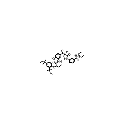 CCC(Oc1ccc(C(C)(C)CC)cc1C(C)(C)CC)C(=O)Nc1cc(C(=O)C(F)(OC)C(=O)Nc2cccc(S(=O)(=O)N(CC)CC)c2)ccc1OC